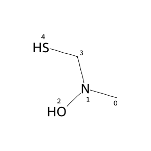 CN(O)CS